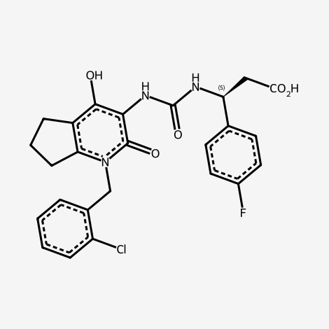 O=C(O)C[C@H](NC(=O)Nc1c(O)c2c(n(Cc3ccccc3Cl)c1=O)CCC2)c1ccc(F)cc1